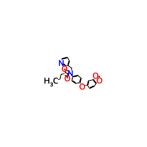 CCCS(=O)(=O)N(Cc1cccnc1)c1ccc(Oc2ccc3c(c2)OCO3)cc1